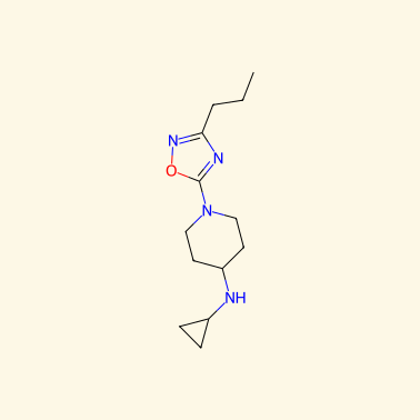 CCCc1noc(N2CCC(NC3CC3)CC2)n1